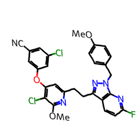 COc1ccc(Cn2nc(CCc3cc(Oc4cc(Cl)cc(C#N)c4)c(Cl)c(OC)n3)c3ccc(F)nc32)cc1